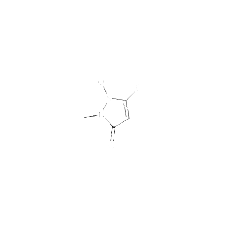 Cn1c(=O)cc(Cl)[s+]1[O-]